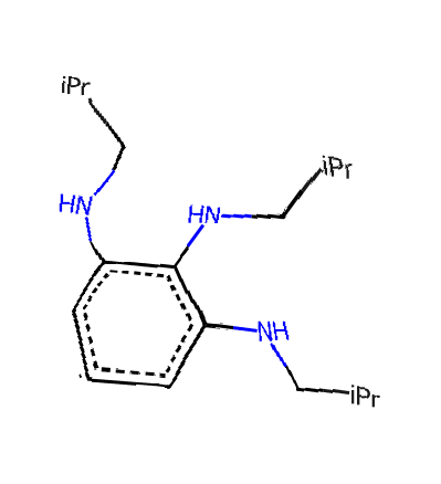 CC(C)CNc1c[c]cc(NCC(C)C)c1NCC(C)C